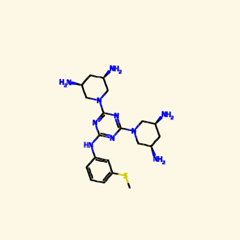 CSc1cccc(Nc2nc(N3C[C@H](N)C[C@H](N)C3)nc(N3C[C@H](N)C[C@H](N)C3)n2)c1